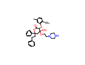 Cc1ccc(C(C)(C)C)c(SC2C(=O)OC(CCc3ccccc3)(c3ccccc3)CC2(O)OCCN2CCNCC2)c1